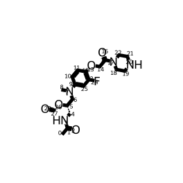 CC(=O)NC[C@@H](CN(C)c1ccc(OCC(=O)N2CCNCC2)c(F)c1)OC=O